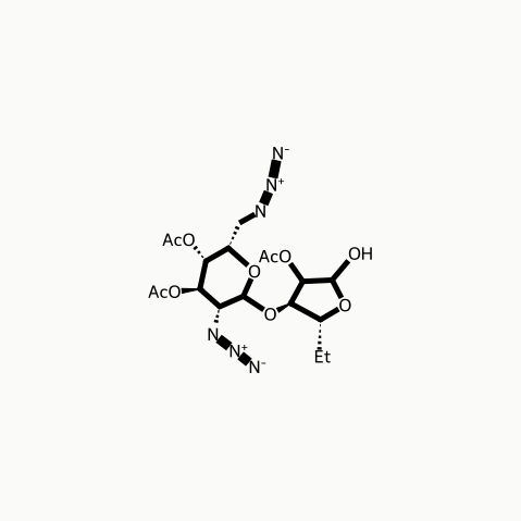 CC[C@H]1OC(O)C(OC(C)=O)[C@@H]1OC1O[C@@H](CN=[N+]=[N-])[C@@H](OC(C)=O)[C@H](OC(C)=O)[C@H]1N=[N+]=[N-]